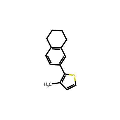 Cc1ccsc1-c1ccc2c(c1)[CH]CCC2